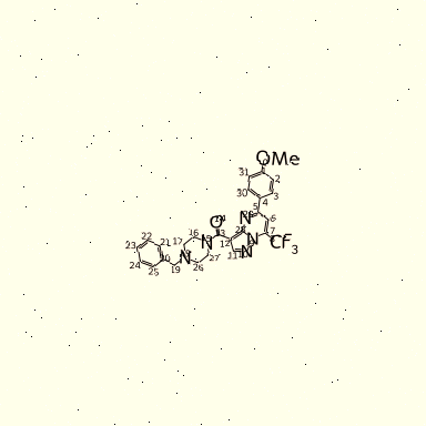 COc1ccc(-c2cc(C(F)(F)F)n3ncc(C(=O)N4CCN(Cc5ccccc5)CC4)c3n2)cc1